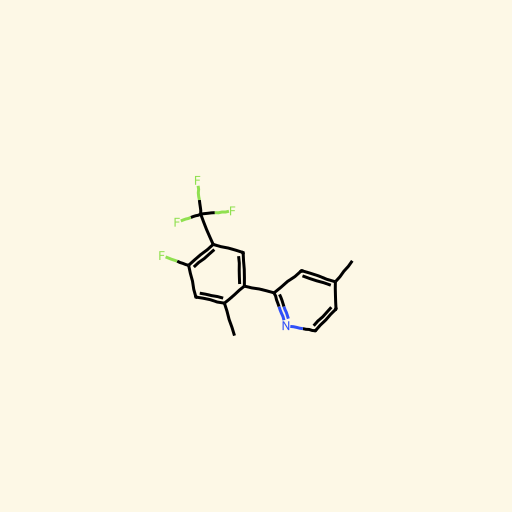 Cc1ccnc(-c2cc(C(F)(F)F)c(F)cc2C)c1